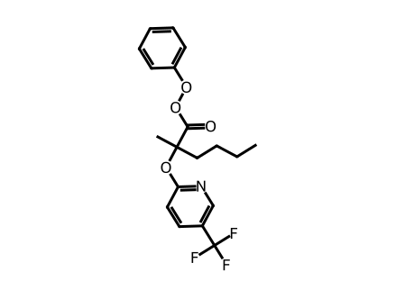 CCCCC(C)(Oc1ccc(C(F)(F)F)cn1)C(=O)OOc1ccccc1